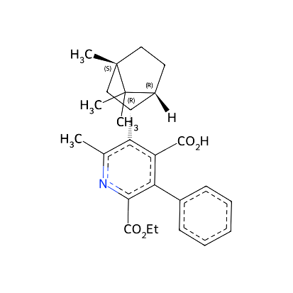 CCOC(=O)c1nc(C)c([C@@H]2C[C@]3(C)CC[C@H]2C3(C)C)c(C(=O)O)c1-c1ccccc1